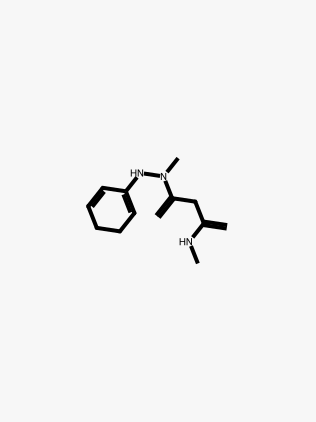 C=C(CC(=C)N(C)NC1=CCCC=C1)NC